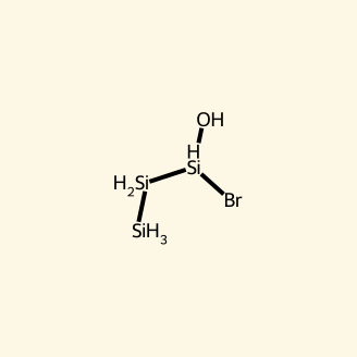 O[SiH](Br)[SiH2][SiH3]